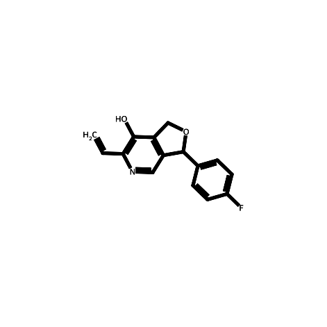 C=Cc1ncc2c(c1O)COC2c1ccc(F)cc1